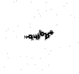 N#Cc1ccc(OCc2nccc(Oc3ccc(CC4C=C(F)C=CC4CC4CCO4)cc3F)n2)c(F)c1